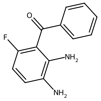 Nc1ccc(F)c(C(=O)c2ccccc2)c1N